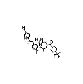 CC1CC(C(=O)N2CCC(C(F)(F)F)CC2)SC(N)=N[C@]1(C)c1cc(/C=C(\F)c2ccc(C#N)cn2)ccc1F